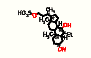 CC[C@H]1[C@@H](O)[C@H]2C3CC[C@H]([C@H](C)CCOS(=O)(=O)O)[C@@]3(C)CCC2[C@@]2(C)CC[C@@H](O)C[C@@H]12